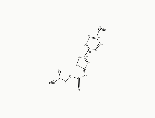 CCCCC(CC)COC(=O)C=C1C=C(c2ccc(OC)cc2)CC1